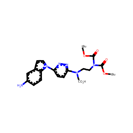 CC(C)(C)OC(=O)N(CCN(C(=O)O)c1ccc(-n2ccc3cc(N)ccc32)nn1)C(=O)OC(C)(C)C